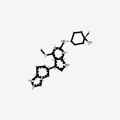 COc1nc(N[C@H]2CC[C@@](C)(O)CC2)nc2[nH]cc(-c3ccc4nncn4c3)c12